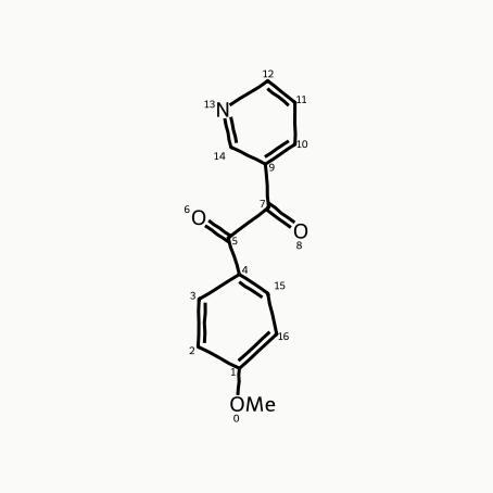 COc1ccc(C(=O)C(=O)c2cccnc2)cc1